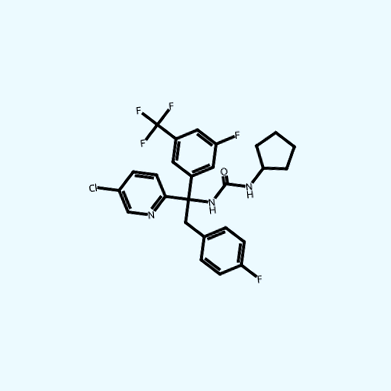 O=C(NC1CCCC1)NC(Cc1ccc(F)cc1)(c1cc(F)cc(C(F)(F)F)c1)c1ccc(Cl)cn1